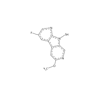 COc1cc2c3cc(F)cnc3n(S)c2cn1